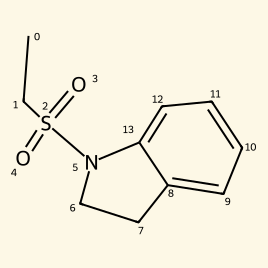 CCS(=O)(=O)N1CCc2ccccc21